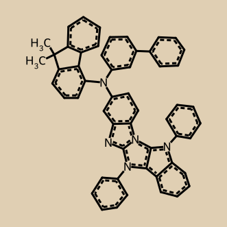 CC1(C)c2ccccc2-c2c(N(c3cccc(-c4ccccc4)c3)c3ccc4c(c3)nc3n(-c5ccccc5)c5c6ccccc6n(-c6ccccc6)c5n43)cccc21